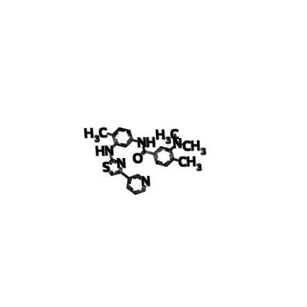 Cc1ccc(NC(=O)c2ccc(C)c(N(C)C)c2)cc1Nc1nc(-c2cccnc2)cs1